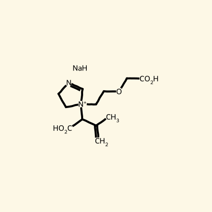 C=C(C)C(C(=O)O)[N+]1(CCOCC(=O)O)C=NCC1.[NaH]